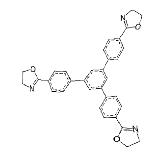 c1cc(-c2cc(-c3ccc(C4=NCCO4)cc3)cc(-c3ccc(C4=NCCO4)cc3)c2)ccc1C1=NCCO1